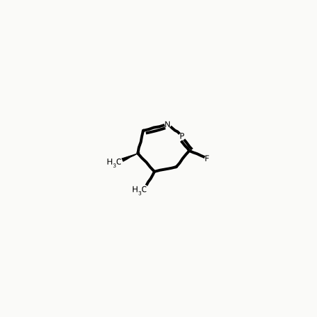 CC1CC(F)=PN=C[C@@H]1C